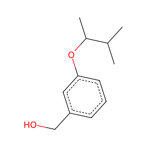 CC(C)C(C)Oc1cccc(CO)c1